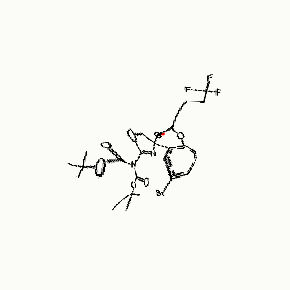 CC(C)(C)OC(=O)N(C(=O)OC(C)(C)C)C1=NC2(CO1)c1cc(Br)ccc1OC(CCC(F)(F)F)C21COC1